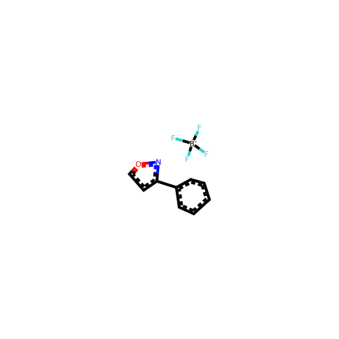 F[B-](F)(F)F.c1ccc(-c2ccon2)cc1